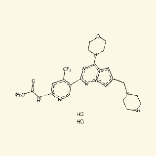 COC(=O)Nc1cc(C(F)(F)F)c(-c2nc(N3CCOCC3)c3cc(CN4CCNCC4)cn3n2)cn1.Cl.Cl